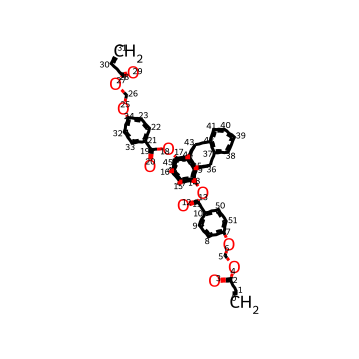 C=CC(=O)OCOc1ccc(C(=O)Oc2ccc(OC(=O)c3ccc(OCOC(=O)C=C)cc3)c3c2C2c4ccccc4C3c3ccccc32)cc1